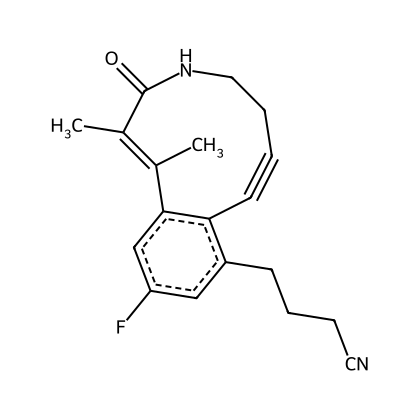 C/C1=C(/C)c2cc(F)cc(CCCC#N)c2C#CCCNC1=O